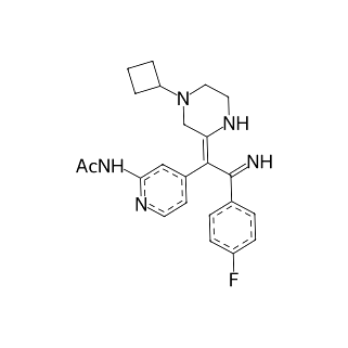 CC(=O)Nc1cc(/C(C(=N)c2ccc(F)cc2)=C2\CN(C3CCC3)CCN2)ccn1